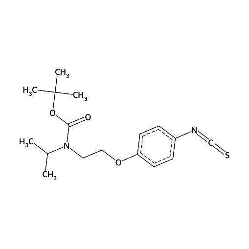 CC(C)N(CCOc1ccc(N=C=S)cc1)C(=O)OC(C)(C)C